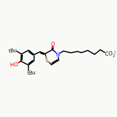 CC(C)(C)c1cc(C=C2SC=CN(CCCCCCCC(=O)O)C2=O)cc(C(C)(C)C)c1O